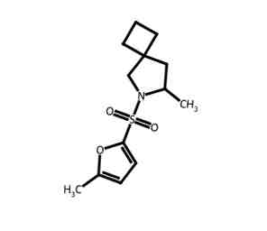 Cc1ccc(S(=O)(=O)N2CC3(CCC3)CC2C)o1